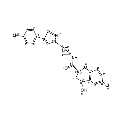 O=C(NC12CC(n3cc(-c4ccc(Cl)cc4)cn3)(C1)C2)[C@@H]1C[C@@H](O)c2cc(Cl)ccc2O1